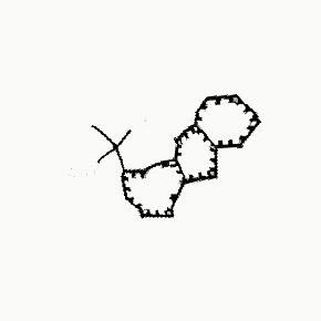 CC(=O)OC(C)(OC(C)=O)c1cccc2cc3ccccc3cc12